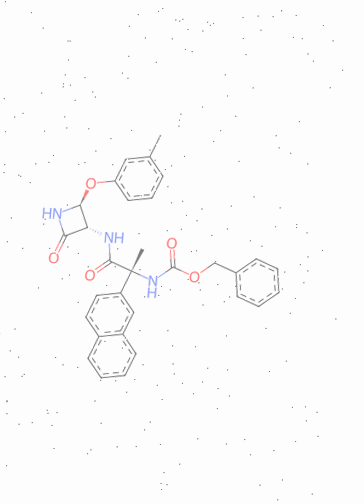 Cc1cccc(O[C@@H]2NC(=O)[C@H]2NC(=O)[C@](C)(NC(=O)OCc2ccccc2)c2ccc3ccccc3c2)c1